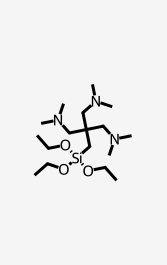 CCO[Si](CC(CN(C)C)(CN(C)C)CN(C)C)(OCC)OCC